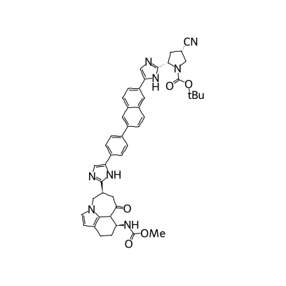 COC(=O)N[C@H]1CCc2ccn3c2C1C(=O)C[C@H](c1ncc(-c2ccc(-c4ccc5cc(-c6cnc([C@@H]7C[C@H](C#N)CN7C(=O)OC(C)(C)C)[nH]6)ccc5c4)cc2)[nH]1)C3